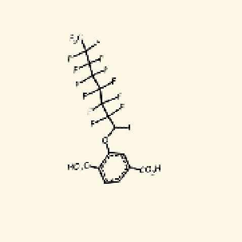 O=C(O)c1ccc(C(=O)O)c(OC(F)C(F)(F)C(F)(F)C(F)(F)C(F)(F)C(F)(F)C(F)(F)C(F)(F)F)c1